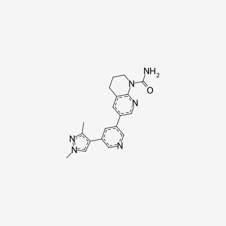 Cc1nn(C)cc1-c1cncc(-c2cnc3c(c2)CCCN3C(N)=O)c1